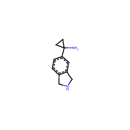 NC1(c2ccc3c(c2)CNC3)CC1